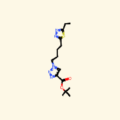 CCc1nnc(CCCCn2cc(C(=O)OC(C)(C)C)nn2)s1